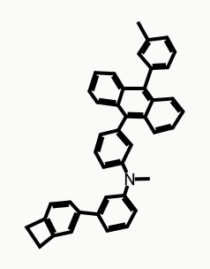 Cc1cccc(-c2c3ccccc3c(-c3cccc(N(C)c4cccc(-c5ccc6c(c5)CC6)c4)c3)c3ccccc23)c1